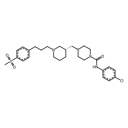 CS(=O)(=O)c1ccc(CCCN2CCC[C@@H](CN3CCN(C(=O)Nc4ccc(Cl)cc4)CC3)C2)cc1